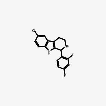 Fc1ccc(C2NCCc3c2[nH]c2ccc(Cl)cc32)c(F)c1